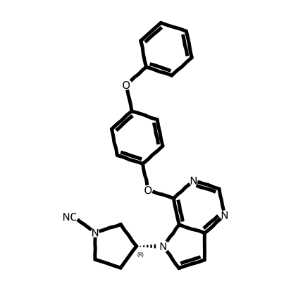 N#CN1CC[C@@H](n2ccc3ncnc(Oc4ccc(Oc5ccccc5)cc4)c32)C1